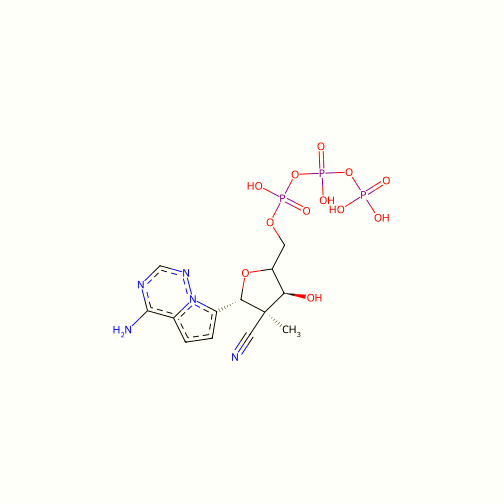 C[C@@]1(C#N)[C@H](O)C(COP(=O)(O)OP(=O)(O)OP(=O)(O)O)O[C@H]1c1ccc2c(N)ncnn12